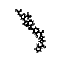 O=C(c1ccc(Nc2nccn3c(-c4cn(CC(F)F)nc4C(F)(F)F)cnc23)cc1Cl)N1CC2(C1)CN(C(=O)C1CCCN1)C2